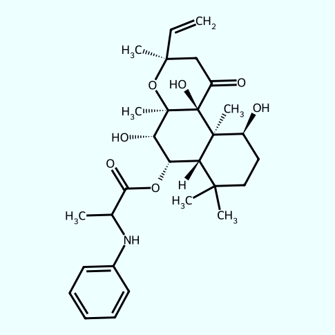 C=C[C@@]1(C)CC(=O)[C@]2(O)[C@@]3(C)[C@@H](O)CCC(C)(C)[C@@H]3[C@H](OC(=O)C(C)Nc3ccccc3)[C@H](O)[C@@]2(C)O1